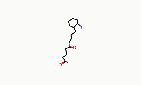 O=C(I)CCCC(=O)CCCCC1CCCCC1I